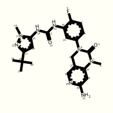 CN1C(=O)N(c2ccc(F)c(NC(=O)Nc3cc(C(C)(C)C)nn3C)c2)Cc2cnc(N)cc21